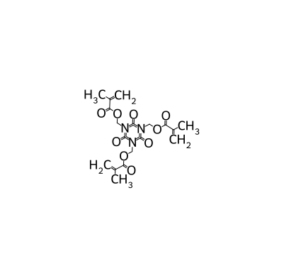 C=C(C)C(=O)OCn1c(=O)n(COC(=O)C(=C)C)c(=O)n(COC(=O)C(=C)C)c1=O